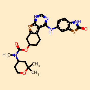 CN(C(=O)OC1CCc2c(sc3ncnc(Nc4ccc5[nH]c(=O)sc5c4)c23)C1)C1CCOC(C)(C)C1